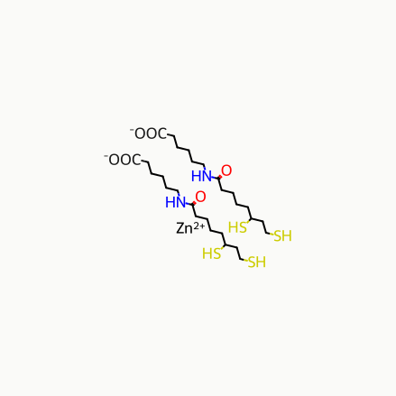 O=C([O-])CCCCCNC(=O)CCCCC(S)CCS.O=C([O-])CCCCCNC(=O)CCCCC(S)CCS.[Zn+2]